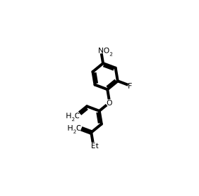 C=C/C(=C\C(=C)CC)Oc1ccc([N+](=O)[O-])cc1F